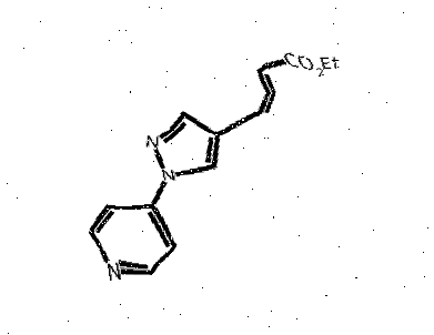 CCOC(=O)/C=C/c1cnn(-c2ccncc2)c1